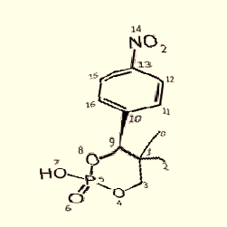 CC1(C)COP(=O)(O)O[C@H]1c1ccc([N+](=O)[O-])cc1